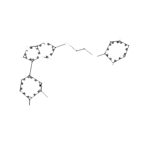 Fc1ccc(-c2cnc3sc(NCCOc4ccccc4)nn23)cc1Cl